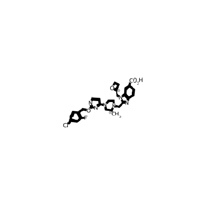 C[C@H]1CN(c2ccnc(OCc3ccc(Cl)cc3F)n2)CCN1Cc1nc2ccc(C(=O)O)cc2n1C[C@@H]1CCO1